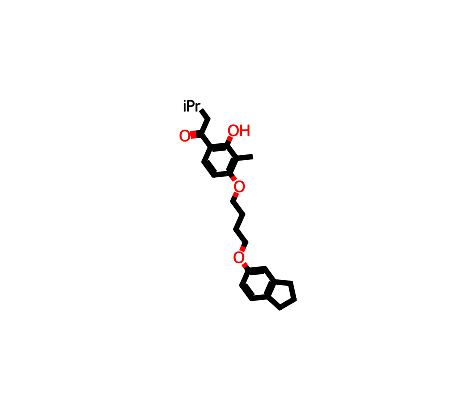 Cc1c(OCCCCOc2ccc3c(c2)CCC3)ccc(C(=O)CC(C)C)c1O